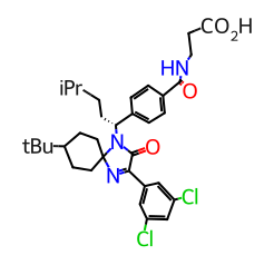 CC(C)CC[C@H](c1ccc(C(=O)NCCC(=O)O)cc1)N1C(=O)C(c2cc(Cl)cc(Cl)c2)=NC12CCC(C(C)(C)C)CC2